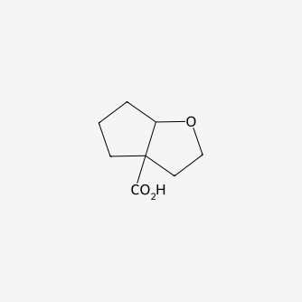 O=C(O)C12CCCC1OCC2